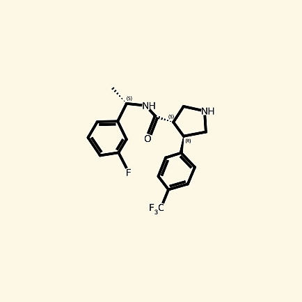 C[C@H](NC(=O)[C@@H]1CNC[C@H]1c1ccc(C(F)(F)F)cc1)c1cccc(F)c1